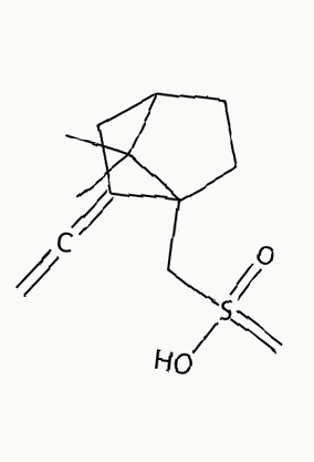 C=C=C1CC2CCC1(CS(=C)(=O)O)C2(C)C